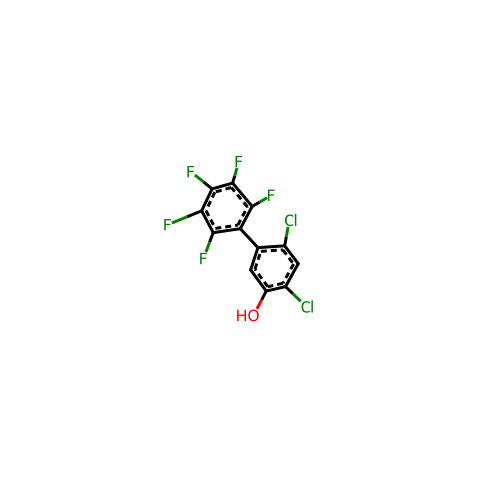 Oc1cc(-c2c(F)c(F)c(F)c(F)c2F)c(Cl)cc1Cl